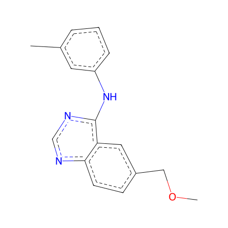 COCc1ccc2ncnc(Nc3cccc(C)c3)c2c1